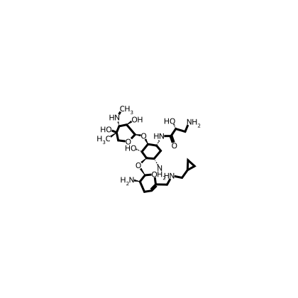 CN[C@@H]1[C@@H](O)[C@@H](O[C@@H]2[C@@H](O)[C@H](O[C@H]3OC(CNCC4CC4)=CC[C@H]3N)[C@@H](N)C[C@H]2NC(=O)[C@H](O)CN)OC[C@]1(C)O